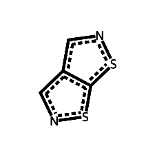 c1nsc2sncc12